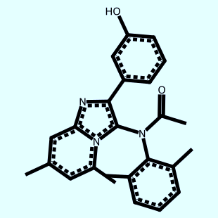 CC(=O)N(c1c(C)cccc1C)c1c(-c2cccc(O)c2)nc2cc(C)cc(C)n12